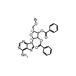 Nc1ncnc2c1ncn2[C@H]1O[C@@H](COBr)C(OC(=O)c2ccccc2)C1OC(=O)c1ccccc1